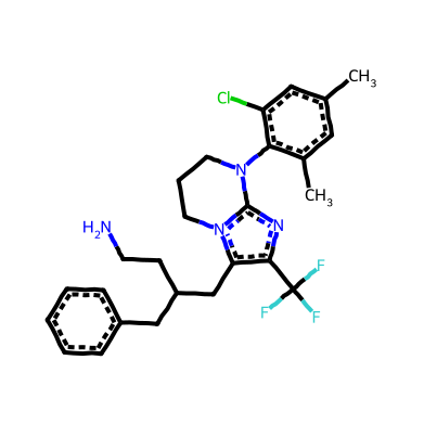 Cc1cc(C)c(N2CCCn3c2nc(C(F)(F)F)c3CC(CCN)Cc2ccccc2)c(Cl)c1